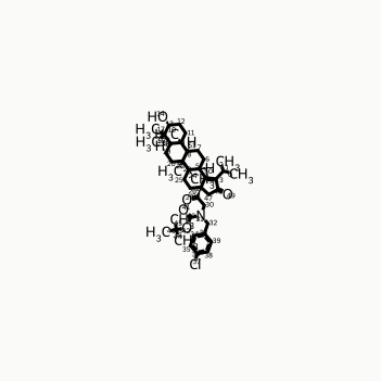 CC(C)C1=C2[C@H]3CC[C@@H]4[C@@]5(C)CC[C@H](O)C(C)(C)[C@@H]5CC[C@@]4(C)[C@]3(C)CC[C@@]2(C(=O)CN(Cc2ccc(Cl)cc2)C(=O)OC(C)(C)C)CC1=O